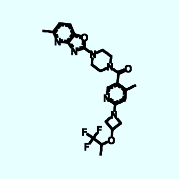 Cc1ccc2oc(N3CCN(C(=O)c4cnc(N5CC(OC(C)C(F)(F)F)C5)cc4C)CC3)nc2n1